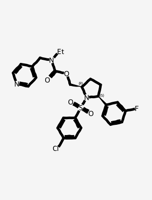 CCN(Cc1ccncc1)C(=O)OC[C@H]1CC[C@@H](c2cccc(F)c2)N1S(=O)(=O)c1ccc(Cl)cc1